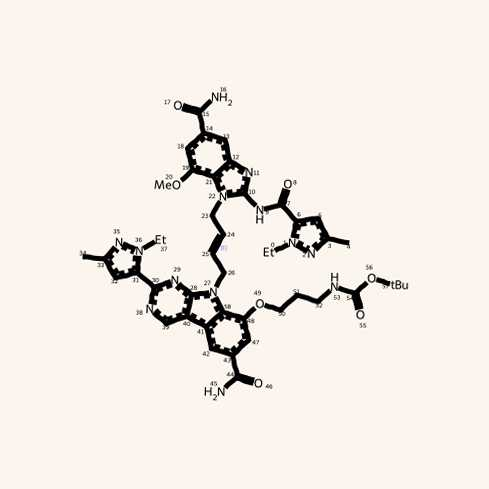 CCn1nc(C)cc1C(=O)Nc1nc2cc(C(N)=O)cc(OC)c2n1C/C=C/Cn1c2nc(-c3cc(C)nn3CC)ncc2c2cc(C(N)=O)cc(OCCCNC(=O)OC(C)(C)C)c21